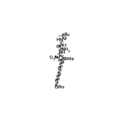 CCCCC(C)C(=O)NCCNC(=O)C(N)CNCc1cc(OC)c(OCCOCCOCCOCCOCC(C)C)cc1[N+](=O)[O-]